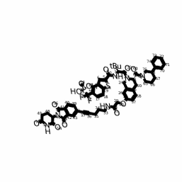 CC(C)(C)[C@H](NC(=O)c1cc2cc(C(F)(F)P(=O)(O)O)ccc2s1)C(=O)N1Cc2cc(OCC(=O)NCCCC#Cc3ccc4c(c3)C(=O)N(C3CCC(=O)NC3=O)C4=O)ccc2C[C@H]1C(=O)N1CCCC(c2ccccc2)C1